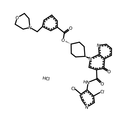 Cl.O=C(O[C@H]1CC[C@H](n2cc(C(=O)Nc3c(Cl)cncc3Cl)c(=O)c3cccnc32)CC1)c1cccc(CN2CCOCC2)c1